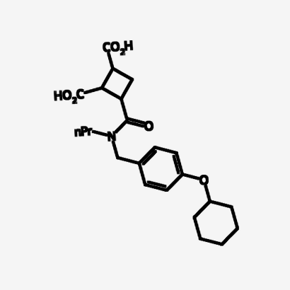 CCCN(Cc1ccc(OC2CCCCC2)cc1)C(=O)C1CC(C(=O)O)C1C(=O)O